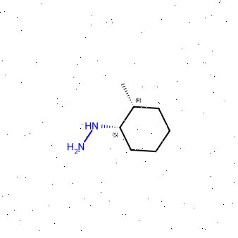 C[C@@H]1CCCC[C@@H]1NN